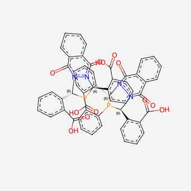 O=C(O)c1ccccc1[C@@H]1n2c(=O)c3ccccc3c(=O)n2[C@@H](c2ccccc2C(=O)O)P1c1ccccc1P1[C@H](c2ccccc2C(=O)O)n2c(=O)c3ccccc3c(=O)n2[C@H]1c1ccccc1C(=O)O